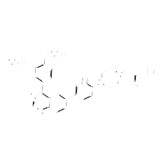 COc1ccc(-c2ncnc3ccc(-c4ccc(N5CCN(OC(=O)C(C)(C)C)CC5)nc4)cc23)cc1OC